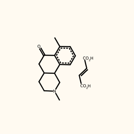 Cc1cccc2c1C(=O)CC1CCN(C)CC21.O=C(O)C=CC(=O)O